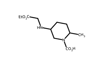 CCOC(=O)CNC1CCC(C)N(C(=O)O)C1